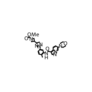 COC(=O)N1CC(c2cnn(-c3ccc(C)c(NC(=O)c4cnn5cc(N6CCOCC6)ccc45)c3)n2)C1